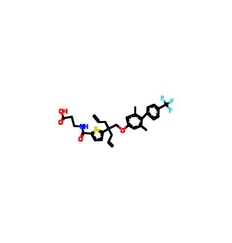 C=CCC(CC=C)(COc1cc(C)c(-c2ccc(C(F)(F)F)cc2)c(C)c1)c1ccc(C(=O)NCCC(=O)O)s1